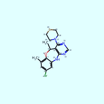 Cc1cc(Br)cc2c1OC(C)c1c(ncnc1N1CCSCC1)N2